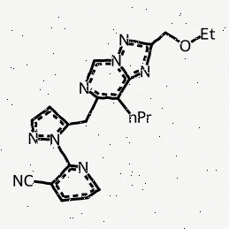 CCCc1c(Cc2ccnn2-c2ncccc2C#N)ncn2nc(COCC)nc12